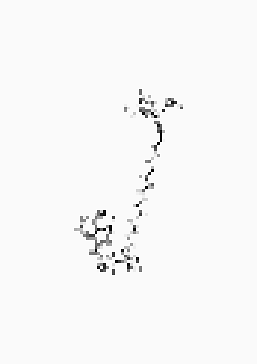 CCS(C#CCCCCCCCCCCCCSCCOP(=O)(O)CO[C@H](C)Cn1cnc2c(N)ncnc21)(CC)CC